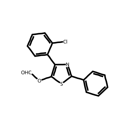 O=COc1sc(-c2ccccc2)nc1-c1ccccc1Cl